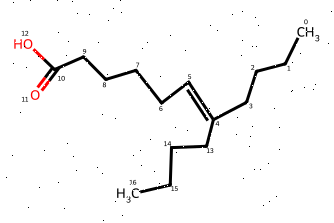 CCCCC(=CCCCCC(=O)O)CCCC